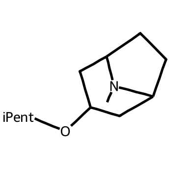 CCCC(C)OC1CC2CCC(C1)N2C